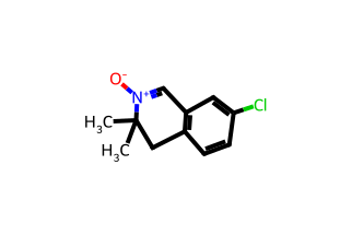 CC1(C)Cc2ccc(Cl)cc2C=[N+]1[O-]